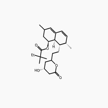 CCC(C)(C)C(=O)O[C@H]1CC(C)C=C2C=C[C@H](C)[C@H](CCC3C[C@@H](O)CC(=O)O3)[C@H]21